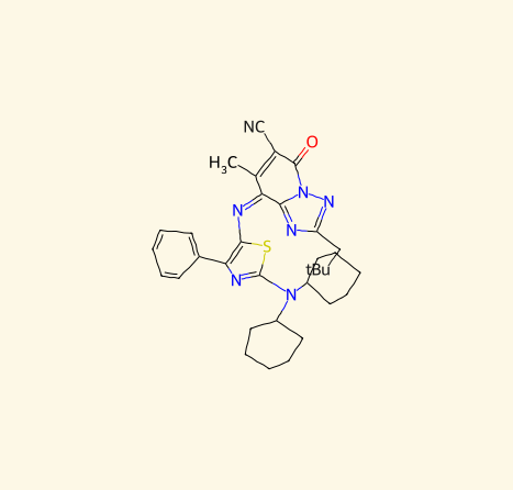 CC1=C(C#N)C(=O)n2nc(CC(C)(C)C)nc2/C1=N\c1sc(N(C2CCCCC2)C2CCCCC2)nc1-c1ccccc1